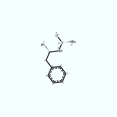 CC(C)[C@@H](Cc1ccccc1)N[S@+]([O-])C(C)(C)C